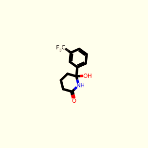 O=C1CCCC(O)(c2cccc(C(F)(F)F)c2)N1